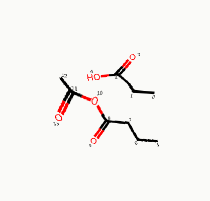 CCC(=O)O.CCCC(=O)OC(C)=O